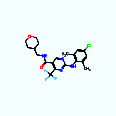 Cc1cc(Cl)cc(C)c1Nc1ncc(C(=O)NCC2CCOCC2)c(C(F)(F)F)n1